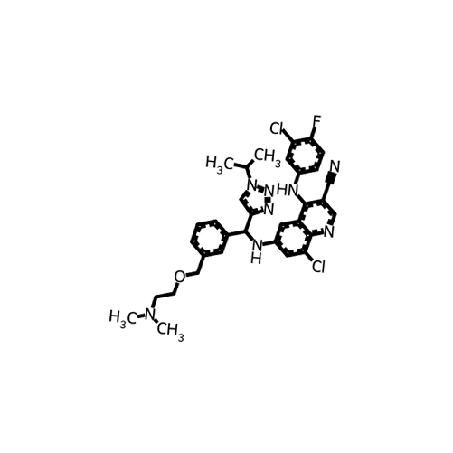 CC(C)n1cc(C(Nc2cc(Cl)c3ncc(C#N)c(Nc4ccc(F)c(Cl)c4)c3c2)c2cccc(COCCN(C)C)c2)nn1